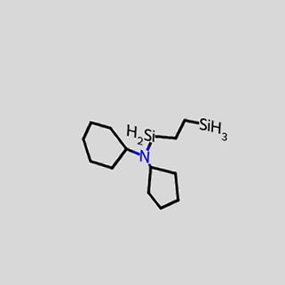 [SiH3]CC[SiH2]N(C1CCCCC1)C1CCCC1